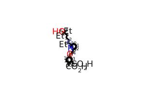 CC/C(=C\CCC(O)(CC)CC)c1cccc(COc2ccc(C(=O)O)c(C(=O)O)c2)n1